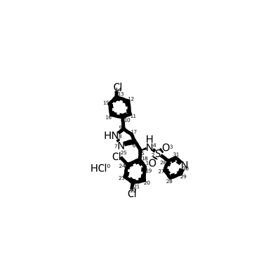 Cl.O=S(=O)(N[C@H](C1=NNC(c2ccc(Cl)cc2)C1)c1ccc(Cl)cc1Cl)c1cccnc1